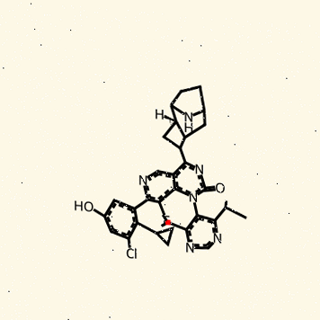 CC(C)c1ncnc(C(C)C)c1-n1c(=O)nc(C2C[C@@H]3C4CCC(CC23)N4)c2cnc(-c3cc(O)cc(Cl)c3C3CC3)c(F)c21